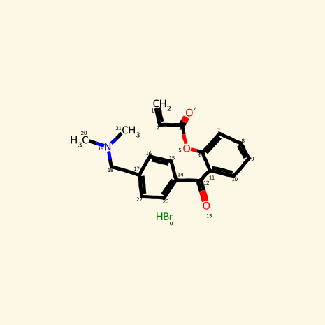 Br.C=CC(=O)Oc1ccccc1C(=O)c1ccc(CN(C)C)cc1